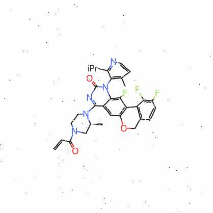 C=CC(=O)N1CCN(c2nc(=O)n(-c3c(C)ccnc3C(C)C)c3c(F)c4c(cc23)OCc2ccc(F)c(F)c2-4)[C@@H](C)C1